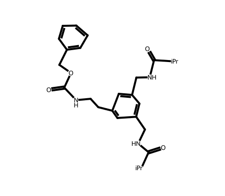 CC(C)C(=O)NCc1cc(CCNC(=O)OCc2ccccc2)cc(CNC(=O)C(C)C)c1